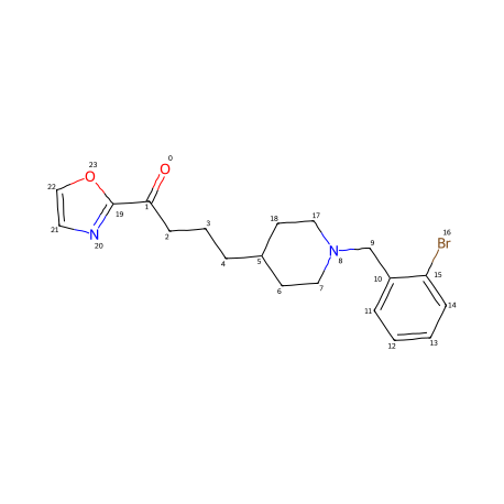 O=C(CCCC1CCN(Cc2ccccc2Br)CC1)c1ncco1